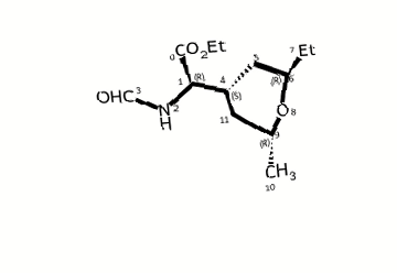 CCOC(=O)[C@H](NC=O)[C@@H]1C[C@@H](CC)O[C@H](C)C1